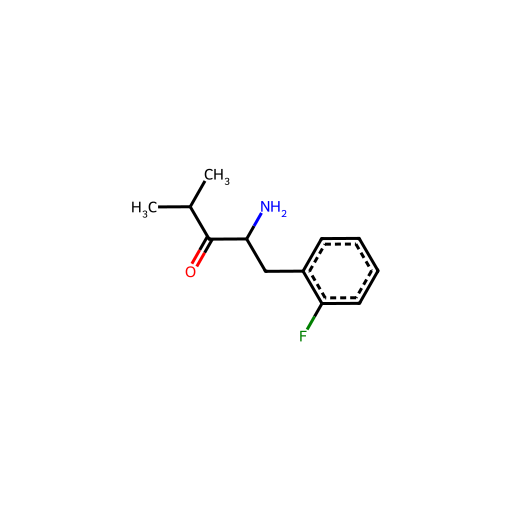 CC(C)C(=O)C(N)Cc1ccccc1F